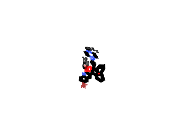 COc1nc2ccc(Br)cc2cc1C(c1ccccc1)C(O)(CCN1CCN(C)CC1)c1ccccc1